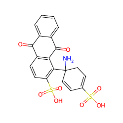 NC1(c2c(S(=O)(=O)O)ccc3c2C(=O)c2ccccc2C3=O)C=CC(S(=O)(=O)O)=CC1